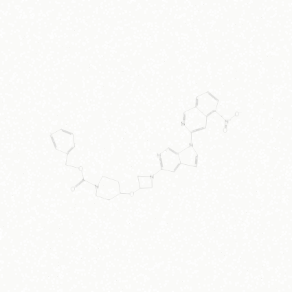 O=C(OCc1ccccc1)N1CCC(OC2CN(c3cc4ccn(-c5cc6c([N+](=O)[O-])cccc6cn5)c4cn3)C2)CC1